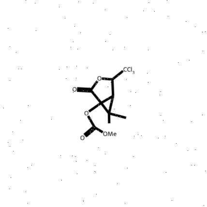 COC(=O)OC12C(=O)OC(C(Cl)(Cl)Cl)C1C2(C)C